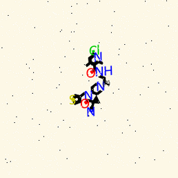 Cc1cc(Cl)nc(C)c1C(=O)NCC[C@@H](C)N1CCC(N(Cc2ccsc2)C(=O)C2(C#N)CC2)CC1